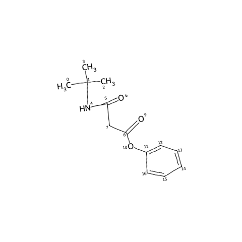 CC(C)(C)NC(=O)CC(=O)Oc1ccccc1